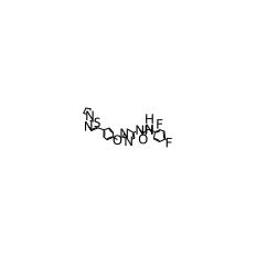 O=C(Nc1cnc(Oc2ccc(-c3cnc(N4CCC4)s3)cc2)nc1)Nc1ccc(F)cc1F